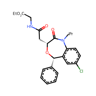 CCOC(=O)CNC(=O)C[C@H]1O[C@@H](c2ccccc2)c2cc(Cl)ccc2N(C(C)C)C1=O